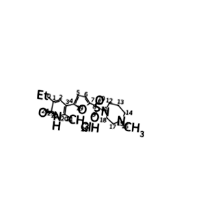 CCc1cc(-c2ccc(S(=O)(=O)N3CCCN(C)CC3)o2)c(C)[nH]c1=O.Cl